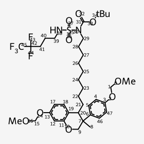 COCOc1ccc(C2(C)COc3cc(OCOC)ccc3C2CCCCCCCCCN(C(=O)OC(C)(C)C)S(=O)(=O)NCCCC(F)(F)C(F)(F)F)cc1